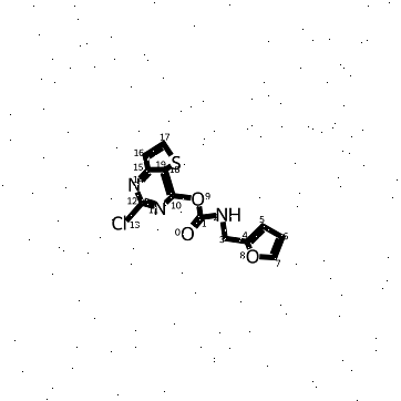 O=C(NCc1ccco1)Oc1nc(Cl)nc2ccsc12